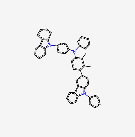 Cc1c(-c2ccc3c(c2)c2ccccc2n3-c2ccccc2)ccc(N(c2ccccc2)c2ccc(-n3c4ccccc4c4ccccc43)cc2)c1C